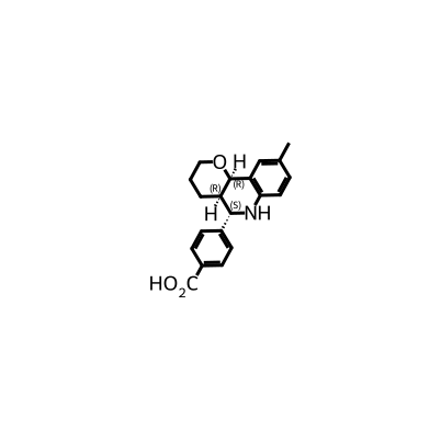 Cc1ccc2c(c1)[C@@H]1OCCC[C@@H]1[C@@H](c1ccc(C(=O)O)cc1)N2